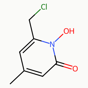 Cc1cc(CCl)n(O)c(=O)c1